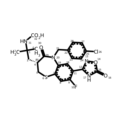 CC(C)(C[C@H]1CSc2cc(F)c(-c3noc(=O)[nH]3)cc2N(Cc2ccc(Cl)cc2)C1=O)NC(=O)O